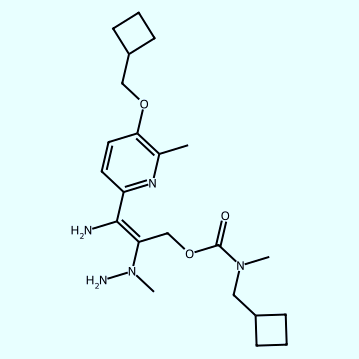 Cc1nc(/C(N)=C(\COC(=O)N(C)CC2CCC2)N(C)N)ccc1OCC1CCC1